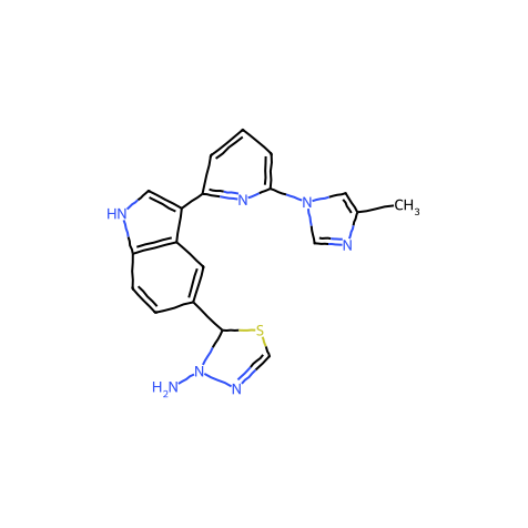 Cc1cn(-c2cccc(-c3c[nH]c4ccc(C5SC=NN5N)cc34)n2)cn1